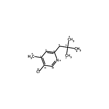 Cc1cc(CC(C)(C)C)ncc1Cl